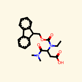 CCN(C(=O)OCC1c2ccccc2-c2ccccc21)C(CC(=O)O)C(=O)N(C)C